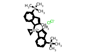 CC1=Cc2c(cccc2[Si](C)(C)C)[CH]1[Zr+2]1([CH]2C(C)=Cc3c2cccc3[Si](C)(C)C)[CH2][CH2]1.[Cl-].[Cl-]